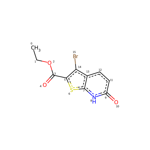 CCOC(=O)c1sc2[nH]c(=O)ccc2c1Br